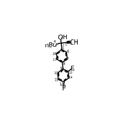 C#CC(O)(CCCC)c1ccc(-c2ccc(F)cc2F)cc1